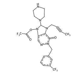 CC#CCN1c2c(cnn(Cc3cccc(C(F)(F)F)c3)c2=O)N(OC(=O)C(F)(F)F)C1N1CCNCC1